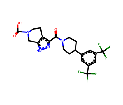 O=C(O)N1CCc2c(C(=O)N3CCC(c4cc(C(F)(F)F)cc(C(F)(F)F)c4)CC3)n[nH]c2C1